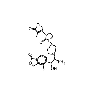 CC1=C(N2CCN(C3CCN([C@@H](N)[C@@H](O)c4ccc5c(c4C)COC5=O)CC3)C2=O)COC1=O